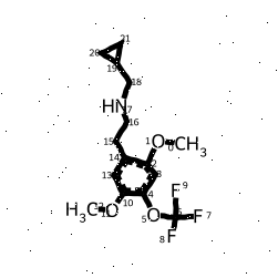 COc1cc(OC(F)(F)F)c(OC)cc1CCNCC1CC1